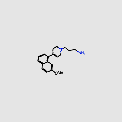 COc1ccc2cccc(C3=CCN(CCCN)CC3)c2c1